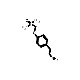 CP(C)(=O)COc1ccc(CCN)cc1